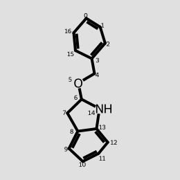 c1ccc(COC2Cc3ccccc3N2)cc1